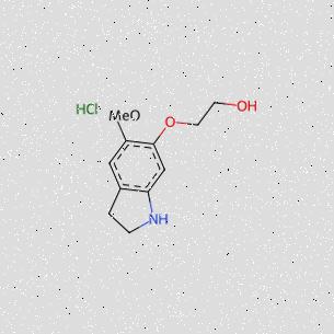 COc1cc2c(cc1OCCO)NCC2.Cl